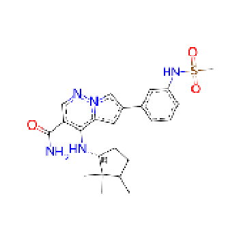 CC1CC[C@@H](Nc2c(C(N)=O)cnn3cc(-c4cccc(NS(C)(=O)=O)c4)cc23)C1(C)C